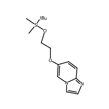 CC(C)(C)[Si](C)(C)OCCOc1ccc2nccn2c1